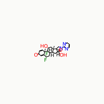 C[C@]12C=CC(=O)C=C1[C@@H](F)C[C@H]1[C@@H]3C[C@H]4CN(c5ncccn5)C[C@@]4(C(=O)CO)[C@@]3(C)C[C@H](O)[C@@]12F